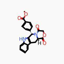 COC(=O)c1ccc([C@H]2c3[nH]c4ccccc4c3C[C@H]3C(=O)OCC(=O)N23)cc1